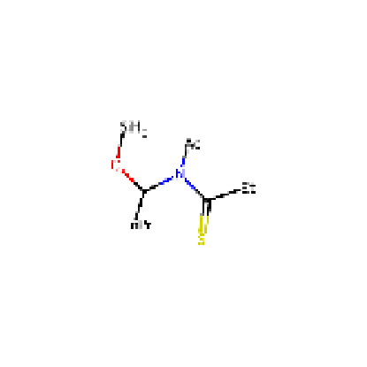 CCCC(O[SiH3])N(C(C)=O)C(=S)CC